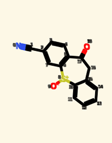 N#Cc1ccc2c(c1)[S+]([O-])c1ccccc1CC2=O